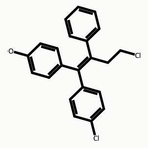 [O]c1ccc(C(=C(CCCl)c2ccccc2)c2ccc(Cl)cc2)cc1